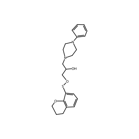 OC(COSc1cccc2c1OCCC2)CN1CCN(c2ccccc2)CC1